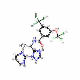 CC(NC(=O)c1cc(OC(F)(F)F)cc(C(F)(F)F)c1)c1ncnn1-c1ncccn1